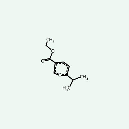 CCOC(=O)c1ccc(C(C)C)cc1